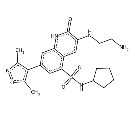 Cc1noc(C)c1-c1cc(S(=O)(=O)NC2CCCC2)c2cc(NCCN)c(=O)[nH]c2c1